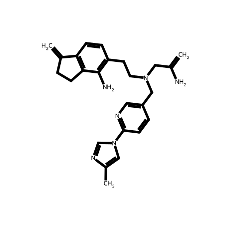 C=C(N)CN(CCc1ccc2c(c1N)CCC2=C)Cc1ccc(-n2cnc(C)c2)nc1